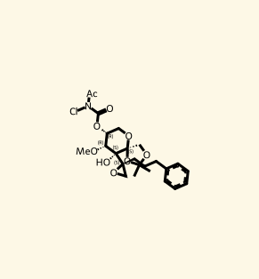 CO[C@@H]1[C@H](OC(=O)N(Cl)C(C)=O)CO[C@]2(COC(C)(C)O2)[C@@]1(O)[C@]1(CCCc2ccccc2)CO1